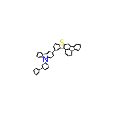 c1ccc(-c2cccc(-n3c4ccccc4c4cc(-c5ccc6sc7cc8c9c(cccc9c7c6c5)-c5ccccc5-8)ccc43)c2)cc1